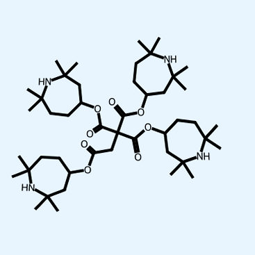 CC1(C)CCC(OC(=O)CC(C(=O)OC2CCC(C)(C)NC(C)(C)C2)(C(=O)OC2CCC(C)(C)NC(C)(C)C2)C(=O)OC2CCC(C)(C)NC(C)(C)C2)CC(C)(C)N1